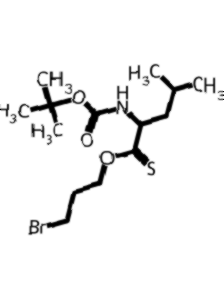 CC(C)CC(NC(=O)OC(C)(C)C)C(=S)OCCCBr